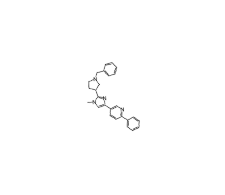 Cn1cc(-c2ccc(-c3ccccc3)nc2)nc1C1CCN(Cc2ccccc2)C1